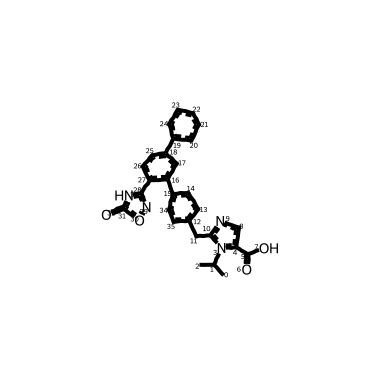 CC(C)n1c(C(=O)O)cnc1Cc1ccc(-c2cc(-c3ccccc3)ccc2-c2noc(=O)[nH]2)cc1